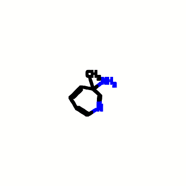 CC1(N)C=CC=CN=C1